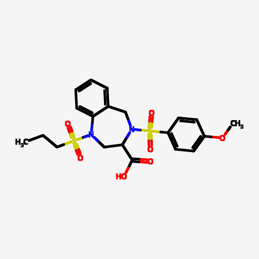 CCCS(=O)(=O)N1CC(C(=O)O)N(S(=O)(=O)c2ccc(OC)cc2)Cc2ccccc21